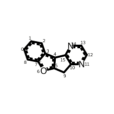 c1ccc2c3c(oc2c1)Cc1nccnc1-3